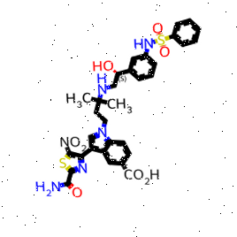 CC(C)(CCn1cc(-c2nc(C(N)=O)sc2[N+](=O)[O-])c2cc(C(=O)O)ccc21)NC[C@@H](O)c1cccc(NS(=O)(=O)c2ccccc2)c1